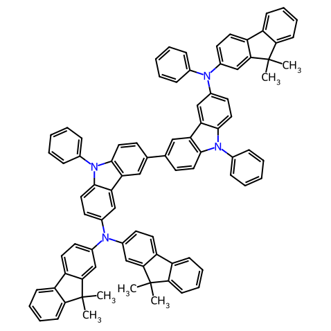 CC1(C)c2ccccc2-c2ccc(N(c3ccccc3)c3ccc4c(c3)c3cc(-c5ccc6c(c5)c5cc(N(c7ccc8c(c7)C(C)(C)c7ccccc7-8)c7ccc8c(c7)C(C)(C)c7ccccc7-8)ccc5n6-c5ccccc5)ccc3n4-c3ccccc3)cc21